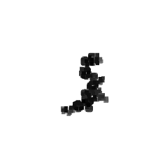 CNC(=O)c1cc(Oc2ccc(NC(=O)c3nn(-c4ccc(C)cc4)c(=O)cc3C)cc2F)ccn1